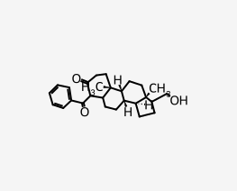 C[C@]12CCC(=O)C(C(=O)c3ccccc3)C1CC[C@@H]1[C@H]2CC[C@]2(C)C(CO)CC[C@@H]12